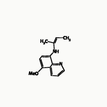 C/C=C(/C)Nc1ccc(OC)c2cccnc12